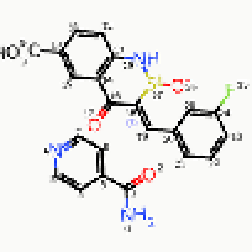 NC(=O)c1ccncc1.O=C(O)c1ccc2c(c1)C(=O)/C(=C/c1cccc(F)c1)[S+]([O-])N2